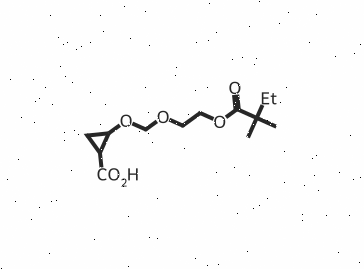 CCC(C)(C)C(=O)OCCOCOC1CC1C(=O)O